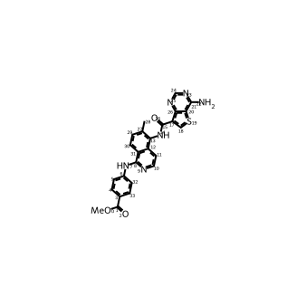 COC(=O)c1ccc(Nc2nccc3c(NC(=O)c4csc5c(N)ncnc45)c(C)ccc23)cc1